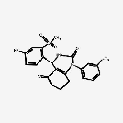 CS(=O)(=O)c1cc(C#N)ccc1[C@H]1NC(=O)N(c2cccc(C(F)(F)F)c2)C2=C1C(=O)CCC2